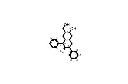 O=C(C(CCCCO)c1ccccc1)C(CCCCO)c1ccccc1